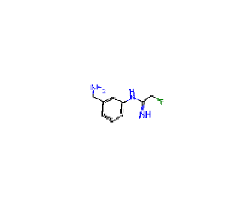 N=C(CF)Nc1cccc(CN)c1